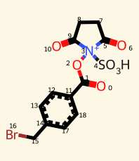 O=C(O[N+]1(S(=O)(=O)O)C(=O)CCC1=O)c1ccc(CBr)cc1